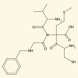 CSCCC(C(=O)O)(C(=O)C(N)CS)N(C(=O)CNCc1ccccc1)C(=O)C(N)C(C)C